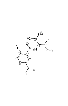 CCC(C)C(NC(=O)c1cc(C(C)C)ccc1F)C(=O)O